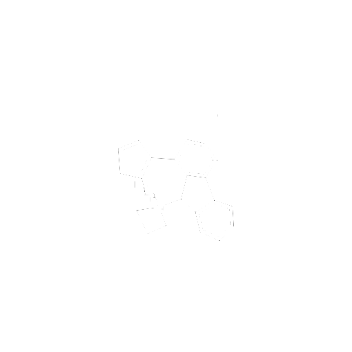 C[Si]1(C2c3ccccc3-c3cccc(C4=[C]([Ti+2])CC=C4)c32)CCC1.[Cl-].[Cl-]